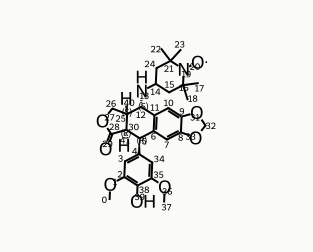 COc1cc([C@@H]2c3cc4c(cc3[C@@H](NC3CC(C)(C)N([O])C(C)(C)C3)[C@H]3COC(=O)[C@H]23)OCO4)cc(OC)c1O